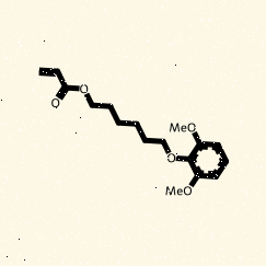 C=CC(=O)OCCCCCCOc1c(OC)cccc1OC